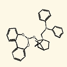 CC1(C)C2CC[C@@]1(CP(c1ccccc1)c1ccccc1)[C@H](Op1oc3ccccc3c3ccccc3o1)C2